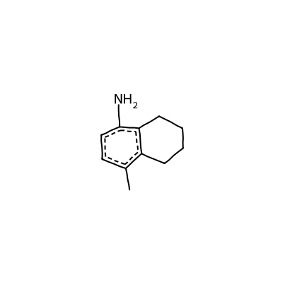 Cc1ccc(N)c2c1CCCC2